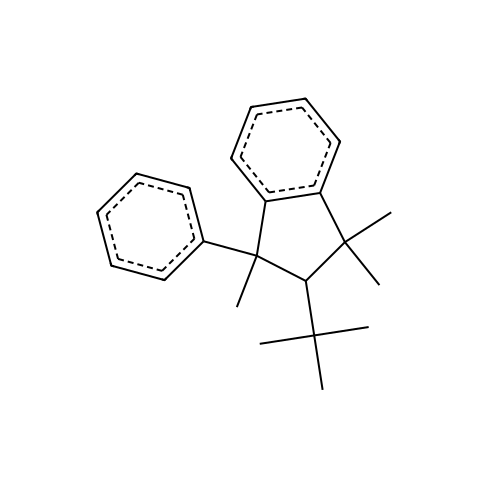 CC(C)(C)C1C(C)(C)c2ccccc2C1(C)c1ccccc1